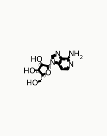 Nc1nccc2c1ncn2[C@@H]1O[C@H](CO)[C@@H](O)[C@@H]1O